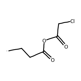 [CH2]CCC(=O)OC(=O)CCl